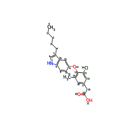 CCCCCc1c[nH]c2ccc(Oc3c(C)cc(CC(=O)O)cc3Cl)cc12